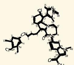 Cc1cc(OCCCc2c3n(c4c(-c5c(C)nn(C)c5C)c(Cl)ccc24)CCCN(c2ccc4c(C(=O)O)cn(C)c4c2)C3=O)cc(C)c1Cl